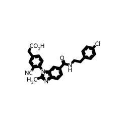 Cc1nc2ccc(C(=O)NCCc3ccc(Cl)cc3)cc2n1-c1ccc(CC(=O)O)cc1C#N